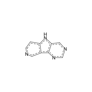 c1cc2[nH]c3cncnc3c2cn1